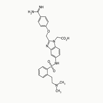 CN(C)CCc1ccccc1S(=O)(=O)Nc1ccc2c(c1)nc(COc1ccc(C(=N)N)cc1)n2CC(=O)O